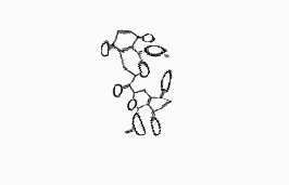 COC1OC(C(=O)C2CC3=C(C(=O)C=CC3=O)C(OC)O2)CC2=C1C(=O)C=CC2=O